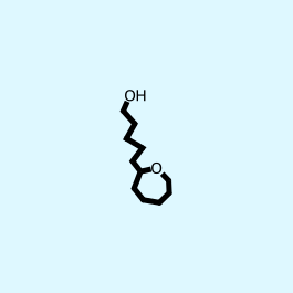 OCCCCCC1CCCCCO1